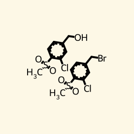 CS(=O)(=O)c1ccc(CBr)cc1Cl.CS(=O)(=O)c1ccc(CO)cc1Cl